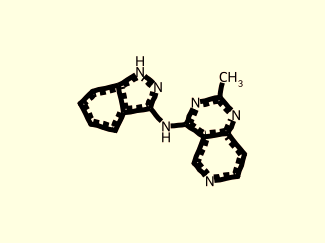 Cc1nc(Nc2n[nH]c3ccccc23)c2cnccc2n1